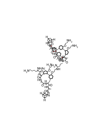 CC(=O)N[C@@H](CCCCN)C(=O)N(C)[C@@H]1C(=O)N[C@@H](C)C(=O)N[C@H](C(=O)N[C@@H](C)B2O[C@@H]3C[C@@H]4C[C@@H](C4(C)C)[C@]3(C)O2)Cc2ccc(OCCNC(N)CCC[C@H](NC(=O)c3ccc(-c4ccc(Cl)cc4)cc3)C(=O)N(C)[C@@H]3C(=O)N[C@@H](C)C(=O)N[C@H](C(=O)N[C@@H](C)B4O[C@@H]5C[C@@H]6C[C@@H](C6(C)C)[C@]5(C)O4)Cc4ccc(OCCN)c(c4)-c4cc3ccc4OCCN)c(c2)-c2cc1ccc2OCCN